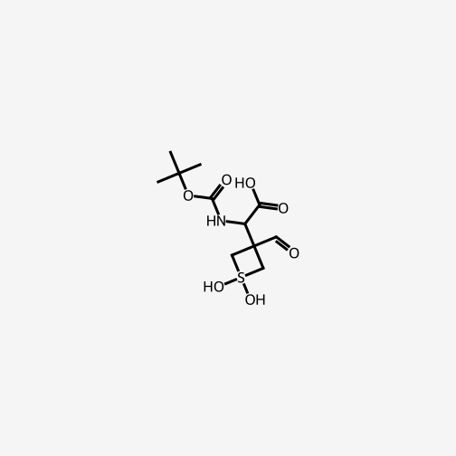 CC(C)(C)OC(=O)NC(C(=O)O)C1(C=O)CS(O)(O)C1